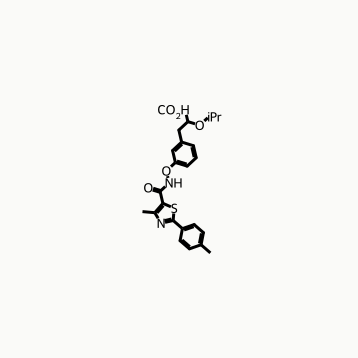 Cc1ccc(-c2nc(C)c(C(=O)NOc3cccc(CC(OC(C)C)C(=O)O)c3)s2)cc1